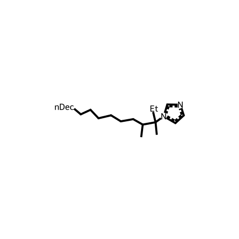 CCCCCCCCCCCCCCCCC(C)C(C)(CC)n1ccnc1